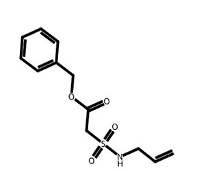 C=CCNS(=O)(=O)CC(=O)OCc1ccccc1